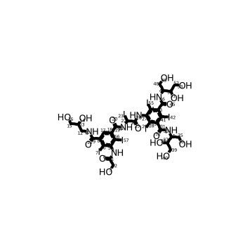 O=C(CO)Nc1c(I)c(C(=O)NCC(O)CO)cc(C(=O)NC(I)C(=O)Nc2c(I)c(C(=O)NC(CO)C(O)CO)c(I)c(C(=O)NC(CO)C(O)CO)c2I)c1I